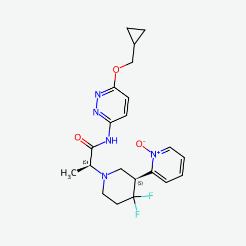 C[C@@H](C(=O)Nc1ccc(OCC2CC2)nn1)N1CCC(F)(F)[C@H](c2cccc[n+]2[O-])C1